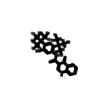 [2H]C([2H])([2H])[Si](c1cc([Si](C([2H])([2H])[2H])(C([2H])([2H])[2H])C([2H])([2H])[2H])c(NC(=O)c2c[nH]c3ccccc3c2=O)cc1O)(C([2H])([2H])[2H])C([2H])([2H])[2H]